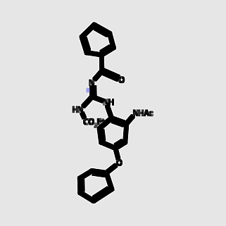 CCOC(=O)N/C(=N/C(=O)c1ccccc1)Nc1ccc(Oc2ccccc2)cc1NC(C)=O